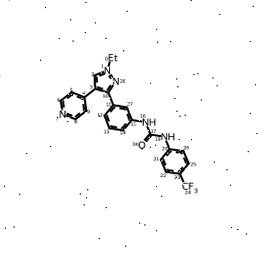 CCn1cc(-c2ccncc2)c(-c2cccc(NC(=O)Nc3ccc(C(F)(F)F)cc3)c2)n1